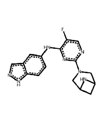 Fc1cnc(N2CC3CC(C2)N3)nc1Nc1ccc2[nH]ncc2c1